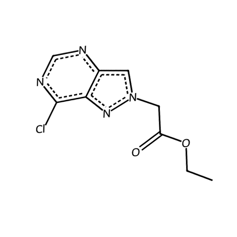 CCOC(=O)Cn1cc2ncnc(Cl)c2n1